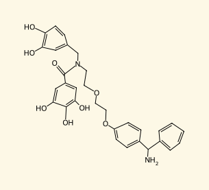 NC(c1ccccc1)c1ccc(OCCOCCN(Cc2ccc(O)c(O)c2)C(=O)c2cc(O)c(O)c(O)c2)cc1